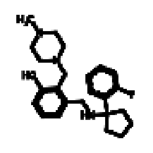 CN1CCN(Cc2c(O)cccc2CNC2(c3ccccc3F)CCCC2)CC1